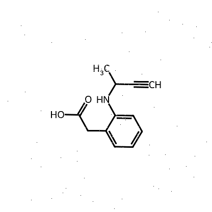 C#CC(C)Nc1ccccc1CC(=O)O